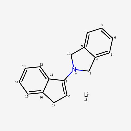 C1=C(N2Cc3ccccc3C2)c2ccccc2C1.[Li]